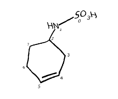 O=S(=O)(O)NC1CC=CCC1